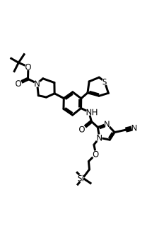 CC(C)(C)OC(=O)N1CCC(c2ccc(NC(=O)c3nc(C#N)cn3COCC[Si](C)(C)C)c(C3=CCSCC3)c2)CC1